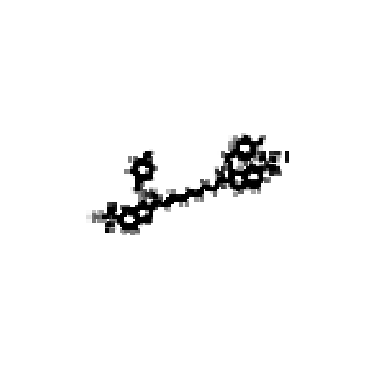 Cc1ccc(Cn2nc(/C=C/CCC/C=C/c3nn(Cc4ccc(C)cc4)c4c3Cc3ccc(S(=O)(=O)O)cc3-4)c3c2-c2cc(S(=O)(=O)O)ccc2C3)cc1